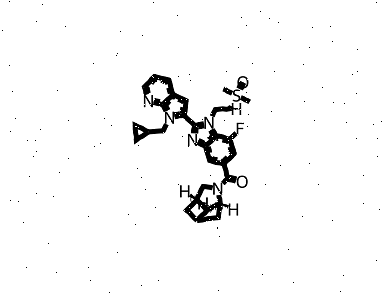 C[SH](C)(=O)CCn1c(-c2cc3cccnc3n2CC2CC2)nc2cc(C(=O)N3C[C@H]4CC5C[C@@H]3[C@H]54)cc(F)c21